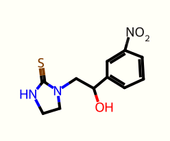 O=[N+]([O-])c1cccc(C(O)CN2CCNC2=S)c1